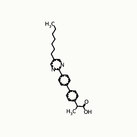 CCCCCCCc1cnc(-c2ccc(-c3ccc(C(C)C(=O)O)cc3)cc2)nc1